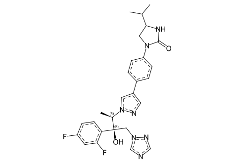 CC(C)C1CN(c2ccc(-c3cnn([C@H](C)[C@](O)(Cn4cncn4)c4ccc(F)cc4F)c3)cc2)C(=O)N1